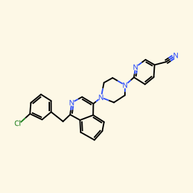 N#Cc1ccc(N2CCN(c3cnc(Cc4cccc(Cl)c4)c4ccccc34)CC2)nc1